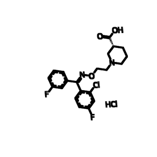 Cl.O=C(O)[C@@H]1CCCN(CCON=C(c2cccc(F)c2)c2ccc(F)cc2Cl)C1